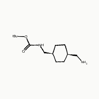 CC(C)(C)OC(=O)NC[C@H]1CC[C@@H](CN)CC1